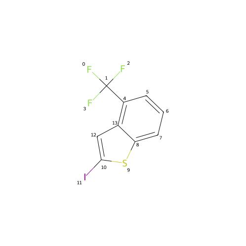 FC(F)(F)c1cccc2sc(I)cc12